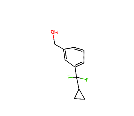 OCc1cccc(C(F)(F)C2CC2)c1